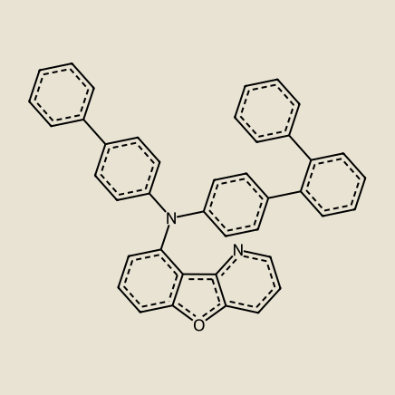 c1ccc(-c2ccc(N(c3ccc(-c4ccccc4-c4ccccc4)cc3)c3cccc4oc5cccnc5c34)cc2)cc1